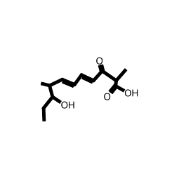 CCC(O)C(C)/C=C/C=C/C(=O)C(C)C(=O)O